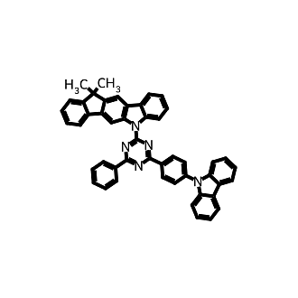 CC1(C)c2ccccc2-c2cc3c(cc21)c1ccccc1n3-c1nc(-c2ccccc2)nc(-c2ccc(-n3c4ccccc4c4ccccc43)cc2)n1